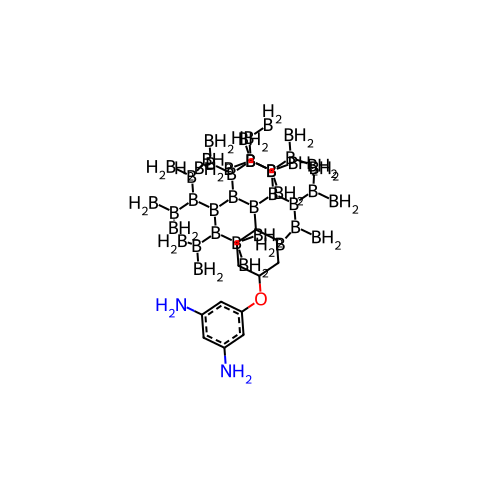 BBB(B(B)B)B(B(B)B)B(B(B(B(B)B)B(B)B)B(B(B)B)B(B)B)B(B(B(B(B)B)B(B)B)B(B(B)B)B(B)B)C1CCC(Oc2cc(N)cc(N)c2)CC1